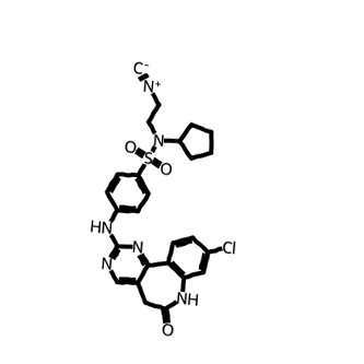 [C-]#[N+]CCN(C1CCCC1)S(=O)(=O)c1ccc(Nc2ncc3c(n2)-c2ccc(Cl)cc2NC(=O)C3)cc1